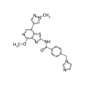 COc1ncc(-c2cnn(C)c2)c2sc(NC(=O)c3ccc(Cn4ccnc4)cc3)nc12